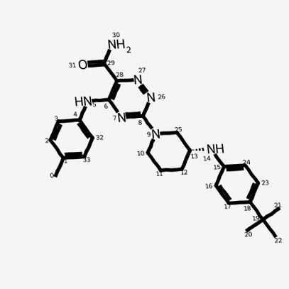 Cc1ccc(Nc2nc(N3CCC[C@@H](Nc4ccc(C(C)(C)C)cc4)C3)nnc2C(N)=O)cc1